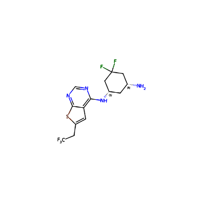 N[C@@H]1C[C@H](Nc2ncnc3sc(CC(F)(F)F)cc23)CC(F)(F)C1